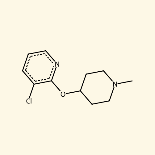 CN1CCC(Oc2ncccc2Cl)CC1